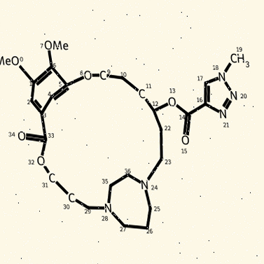 COc1cc2cc(c1OC)OCCCC(OC(=O)c1cn(C)nn1)CCN1CCCN(CCCOC2=O)CC1